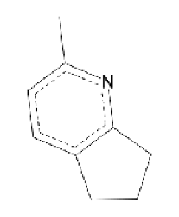 Cc1ccc2c(n1)CCC2